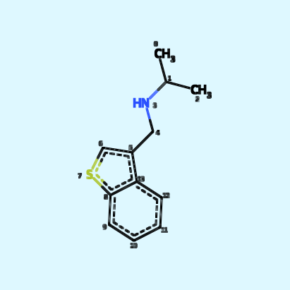 CC(C)NCc1csc2ccccc12